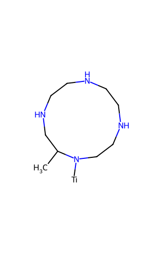 CC1CNCCNCCNCC[N]1[Ti]